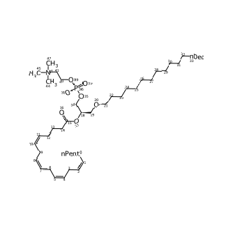 CCCCC/C=C\C/C=C\C/C=C\C/C=C\CCCC(=O)O[C@H](COCCCCCCCCCCCCCCCCCCCCCC)COP(=O)([O-])OCC[N+](C)(C)C